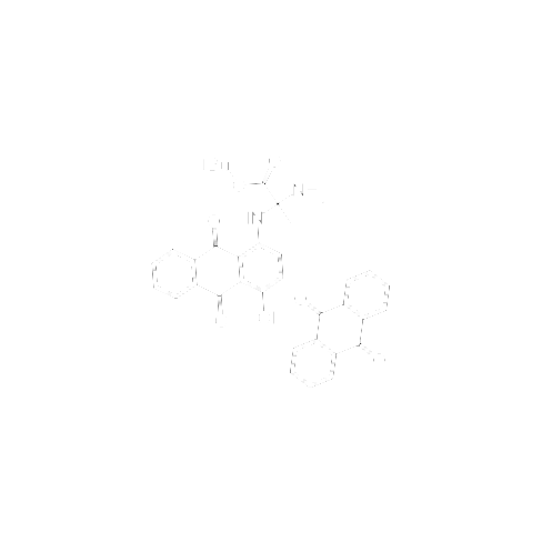 CC(C)(C)OC(=O)C(C)(N)Nc1ccc(O)c2c1C(=O)c1ccccc1C2=O.O=C1c2ccccc2C(=O)c2ccccc21